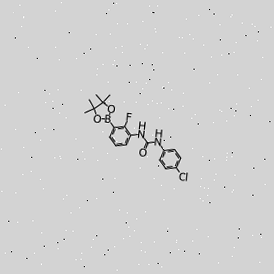 CC1(C)OB(c2cccc(NC(=O)Nc3ccc(Cl)cc3)c2F)OC1(C)C